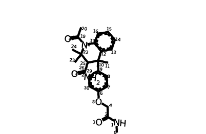 CNC(=O)COc1ccc(C2(C)c3c[c]ccc3N(C(C)=O)C(C)(C)C2C(N)=O)cc1